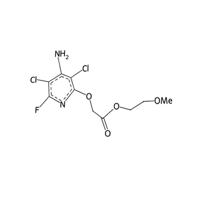 COCCOC(=O)COc1nc(F)c(Cl)c(N)c1Cl